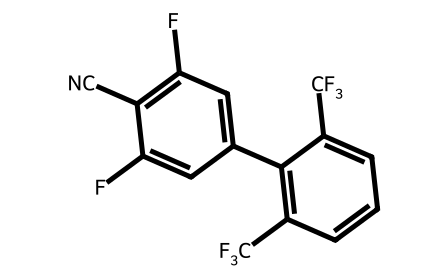 N#Cc1c(F)cc(-c2c(C(F)(F)F)cccc2C(F)(F)F)cc1F